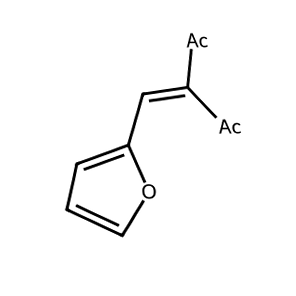 CC(=O)C(=Cc1ccco1)C(C)=O